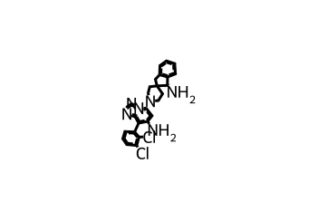 Nc1cc(N2CCC3(CC2)Cc2ccccc2[C@H]3N)n2ncnc2c1-c1cccc(Cl)c1Cl